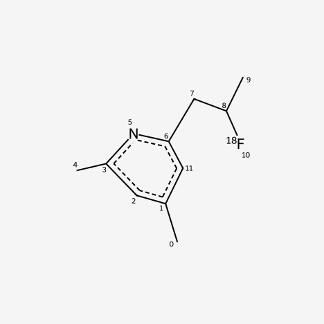 Cc1cc(C)nc(CC(C)[18F])c1